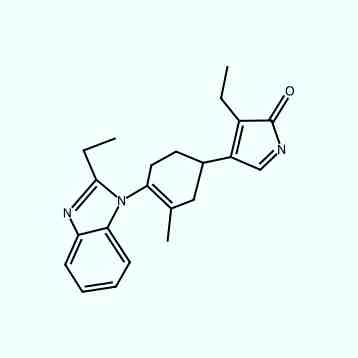 CCC1=C(C2CCC(n3c(CC)nc4ccccc43)=C(C)C2)C=NC1=O